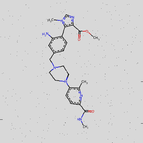 CNC(=O)c1ccc(N2CCN(Cc3ccc(-c4c(C(=O)OC)ncn4C)c(N)c3)CC2)c(C)n1